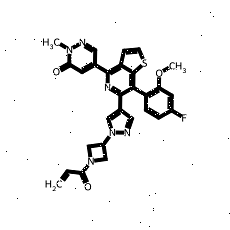 C=CC(=O)N1CC(n2cc(-c3nc(-c4cnn(C)c(=O)c4)c4ccsc4c3-c3ccc(F)cc3OC)cn2)C1